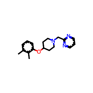 Cc1cccc(OC2CCN(Cc3ncccn3)CC2)c1C